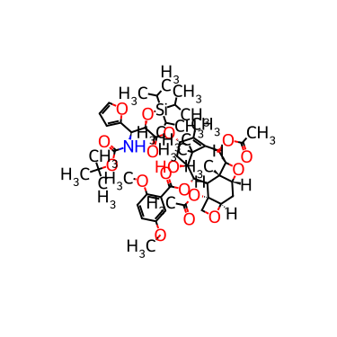 COc1ccc(OC)c(C(=O)O[C@H]2[C@@H]3[C@]4(OC(C)=O)CO[C@@H]4C[C@H]4O[C@@H]([C@H](OC(C)=O)C5=C(C)[C@@H](OC(=O)[C@H](O[Si](C(C)C)(C(C)C)C(C)C)[C@@H](NC(=O)OC(C)(C)C)c6ccco6)C[C@]2(O)C5(C)C)[C@@]34C)c1